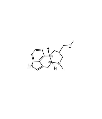 COCC1C[C@H]2c3cccc4[nH]cc(c34)C[C@@H]2N(C)C1